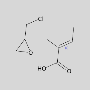 C/C=C(\C)C(=O)O.ClCC1CO1